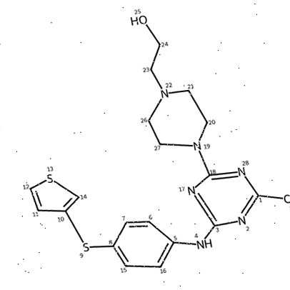 Cc1nc(Nc2ccc(Sc3ccsc3)cc2)nc(N2CCN(CCO)CC2)n1